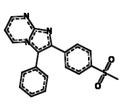 CS(=O)(=O)c1ccc(-c2nc3ncccn3c2-c2ccccc2)cc1